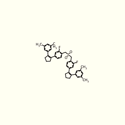 Cc1cc(C)cc(C2=C(c3ccc(CS(=O)(=O)Cc4ccc(C5=C(c6cc(C)cc(C)c6)CCC5)cc4F)c(F)c3)CCC2)c1